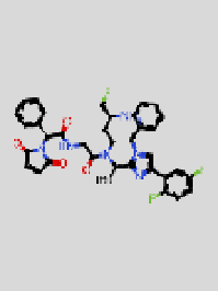 CC(C)(C)[C@H](c1nc(-c2cc(F)ccc2F)cn1Cc1ccccc1)N(CC[C@H](N)CF)C(=O)CNC(=O)[C@H](c1ccccc1)N1C(=O)C=CC1=O